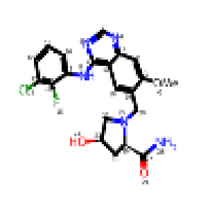 COc1cc2ncnc(Nc3cccc(Cl)c3F)c2cc1CN1C[C@H](O)C[C@@H]1C(N)=O